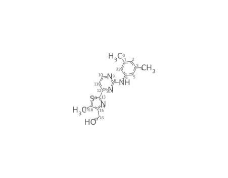 Cc1cc(C)cc(Nc2nccc(-c3nc(CO)c(C)s3)n2)c1